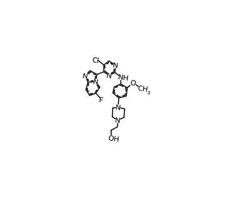 COc1cc(N2CCN(CCO)CC2)ccc1Nc1ncc(Cl)c(-c2cnc3ccc(F)cn23)n1